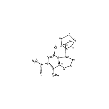 COc1c(C(N)=O)cc(Cl)c2c1CCCN2C1CN2CCC1CC2